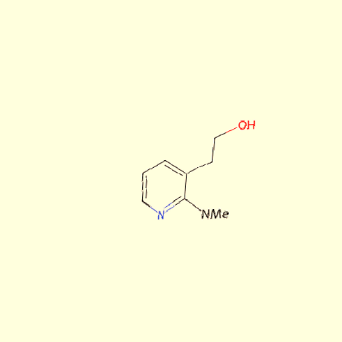 CNc1ncccc1CCO